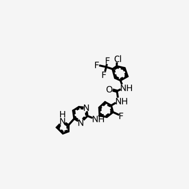 O=C(Nc1ccc(Cl)c(C(F)(F)F)c1)Nc1ccc(Nc2nccc(-c3ccc[nH]3)n2)cc1F